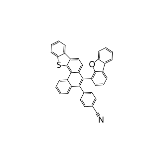 N#Cc1ccc(-c2c(-c3cccc4c3oc3ccccc34)c3ccc4c5ccccc5sc4c3c3ccccc23)cc1